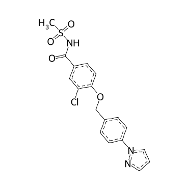 CS(=O)(=O)NC(=O)c1ccc(OCc2ccc(-n3cccn3)cc2)c(Cl)c1